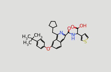 CC(C)(C)c1ccc(Oc2ccc3cc(C(=O)NC(C(=O)O)c4ccsc4)nc(CC4CCCC4)c3c2)cc1